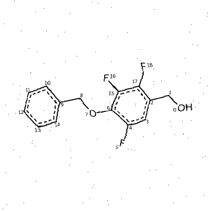 OCc1cc(F)c(OCc2ccccc2)c(F)c1F